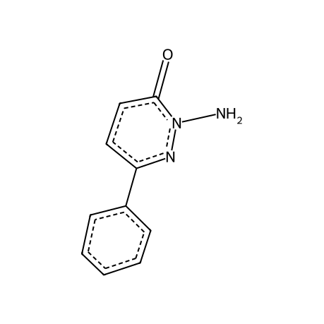 Nn1nc(-c2ccccc2)ccc1=O